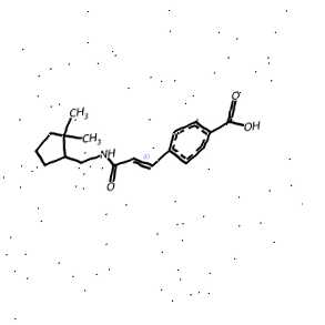 CC1(C)CCCC1CNC(=O)/C=C/c1ccc(C(=O)O)cc1